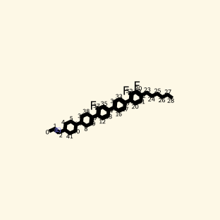 C/C=C/C1CCC(C2CC=C(c3ccc(-c4ccc(-c5ccc(CCCCCC)c(F)c5F)cc4)cc3F)CC2)CC1